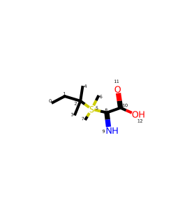 CCC(C)(C)S(C)(C)C(=N)C(=O)O